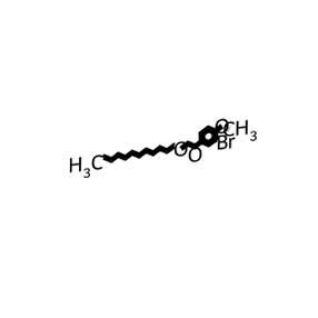 CCCCCCCCCCCCOCC(=O)c1ccc(OC)c(Br)c1